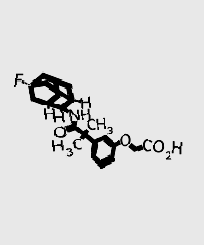 CC(C)(C(=O)N[C@H]1[C@@H]2CC3C[C@H]1C[C@](F)(C3)C2)c1cccc(OCC(=O)O)c1